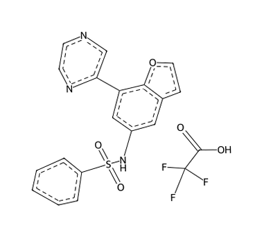 O=C(O)C(F)(F)F.O=S(=O)(Nc1cc(-c2cnccn2)c2occc2c1)c1ccccc1